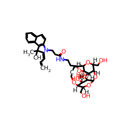 C=C/C=C1/N(CCC(=O)NCCCO[C@@H]2[C@@H](O)[C@@H]3OC4O[C@H](CO)[C@@H](OCCC[C@H]2O[C@@H]3CO)[C@H](O)[C@H]4O)c2ccc3ccccc3c2C1(C)C